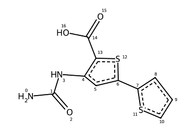 NC(=O)Nc1cc(-c2cccs2)sc1C(=O)O